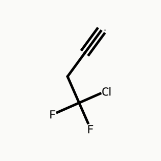 [C]#CCC(F)(F)Cl